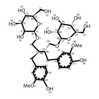 COc1cc(C[C@@H](CO[C@@H]2O[C@H](CO)[C@@H](O)[C@H](O)C2O)[C@H](CO[C@@H]2O[C@H](CO)[C@@H](O)[C@H](O)[C@H]2O)Cc2ccc(O)c(OC)c2)ccc1O